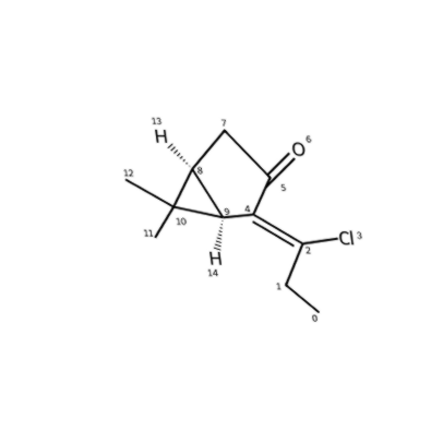 CC/C(Cl)=C1/C(=O)C[C@H]2[C@@H]1C2(C)C